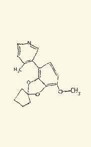 COc1ccc(-c2cnccc2C)c2c1OC1(CCCC1)O2